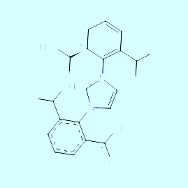 CC(C)C1=C(N2C=CN(c3c(C(C)C)cccc3C(C)C)C2)[C@@H](C(C)C)CC=C1